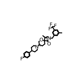 Cc1cc(CNC(=O)C2(C(C)C)CC[C@@H](N3CCC(c4ccc(F)cc4)CC3)CO2)cc(C(F)(F)F)c1